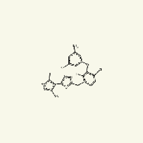 Cc1[nH]nc(N)c1-c1nnc(Cc2ccc(Cl)c(Oc3cc(N)cc(Cl)c3)c2F)o1